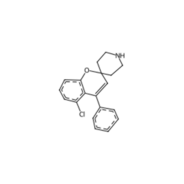 Clc1cccc2c1C(c1ccccc1)=CC1(CCNCC1)O2